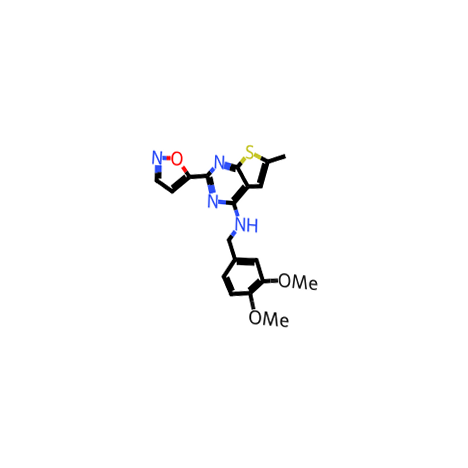 COc1ccc(CNc2nc(-c3ccno3)nc3sc(C)cc23)cc1OC